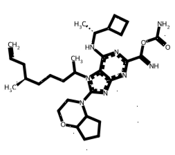 C=CC[C@H](C)CCCC(C)n1c(N2CCOC3CCCC32)nc2nc(C(=N)OC(N)=O)nc(N[C@H](C)C3CCC3)c21